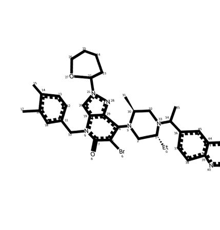 CC[C@@H]1CN(c2c(Br)c(=O)n(Cc3ccc(C)c(C)c3)c3cn(C4CCCCO4)nc23)[C@@H](C)CN1C(C)c1ccc2nccnc2c1